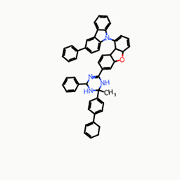 CC1(c2ccc(C3=CC=CCC3)cc2)NC(C2=CC3OC4C=CC=C(n5c6ccccc6c6cc(-c7ccccc7)ccc65)C4C3C=C2)=NC(c2ccccc2)N1